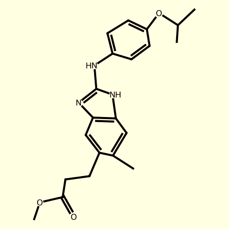 COC(=O)CCc1cc2nc(Nc3ccc(OC(C)C)cc3)[nH]c2cc1C